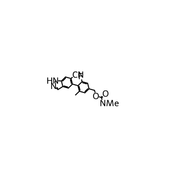 CNC(=O)OCc1cc(C)c(-c2cc3cn[nH]c3cc2C#N)c(F)c1